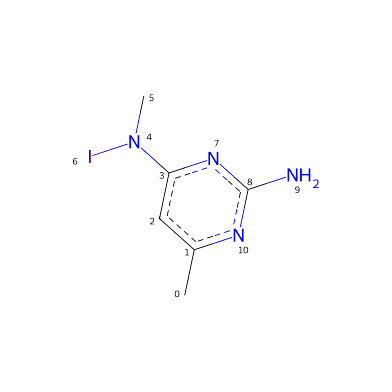 Cc1cc(N(C)I)nc(N)n1